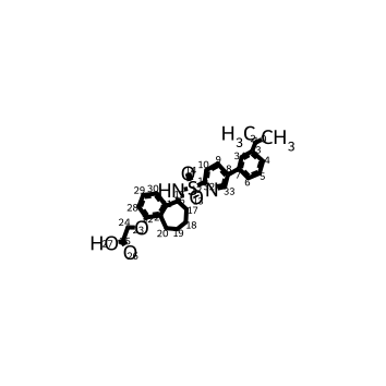 CC(C)c1cccc(-c2ccc(S(=O)(=O)NC3CCCCc4c(OCC(=O)O)cccc43)nc2)c1